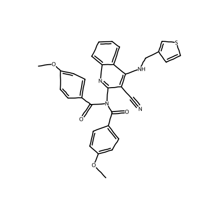 COc1ccc(C(=O)N(C(=O)c2ccc(OC)cc2)c2nc3ccccc3c(NCc3ccsc3)c2C#N)cc1